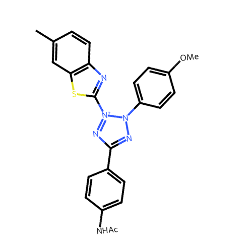 COc1ccc(-n2nc(-c3ccc(NC(C)=O)cc3)n[n+]2-c2nc3ccc(C)cc3s2)cc1